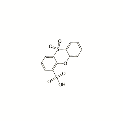 O=S(=O)(O)c1cccc2c1Oc1ccccc1S2(=O)=O